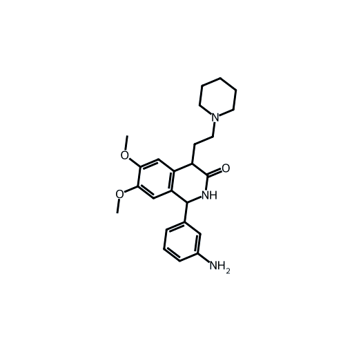 COc1cc2c(cc1OC)C(c1cccc(N)c1)NC(=O)C2CCN1CCCCC1